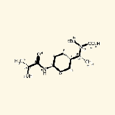 C[C@@H](O)C(=O)N[C@H]1CC[C@H]([C@@H](C)N(C(=O)O)C(C)(C)C)CC1